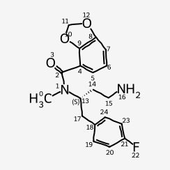 CN(C(=O)c1cccc2c1OCO2)[C@H](CCN)Cc1ccc(F)cc1